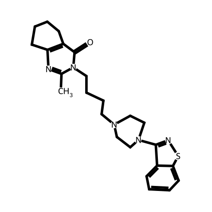 Cc1nc2c(c(=O)n1CCCCN1CCN(c3nsc4ccccc34)CC1)CCCC2